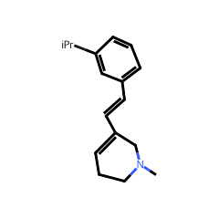 CC(C)c1cccc(C=CC2=CCCN(C)C2)c1